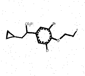 CCOC(=O)C(CC1CC1)c1cc(Cl)c(OCCF)c(Br)c1